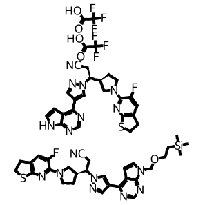 C[Si](C)(C)CCOCn1ccc2c(-c3cnn(C(CC#N)[C@H]4CCN(c5nc6c(cc5F)CCS6)C4)c3)ncnc21.N#CC[C@@H]([C@H]1CCN(c2nc3c(cc2F)CCS3)C1)n1cc(-c2ncnc3[nH]ccc23)cn1.O=C(O)C(F)(F)F.O=C(O)C(F)(F)F